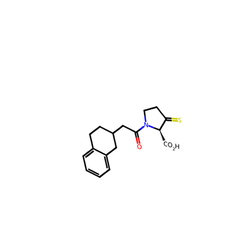 O=C(O)[C@@H]1C(=S)CCN1C(=O)CC1CCc2ccccc2C1